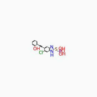 O=P(O)(O)CSc1nc2cc(C#Cc3ccccc3O)c(Cl)cc2[nH]1